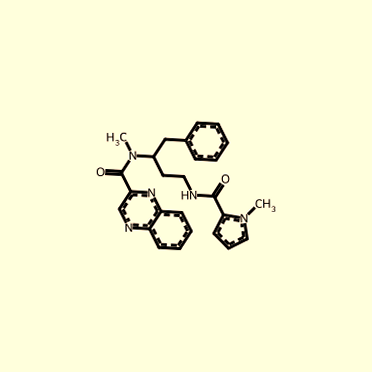 CN(C(=O)c1cnc2ccccc2n1)C(CCNC(=O)c1cccn1C)Cc1ccccc1